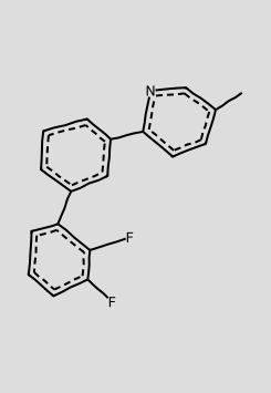 Cc1ccc(-c2cccc(-c3cccc(F)c3F)c2)nc1